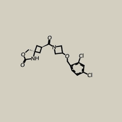 O=C1N[C@]2(CO1)C[C@H](C(=O)N1CC(OCc3ccc(Cl)cc3Cl)C1)C2